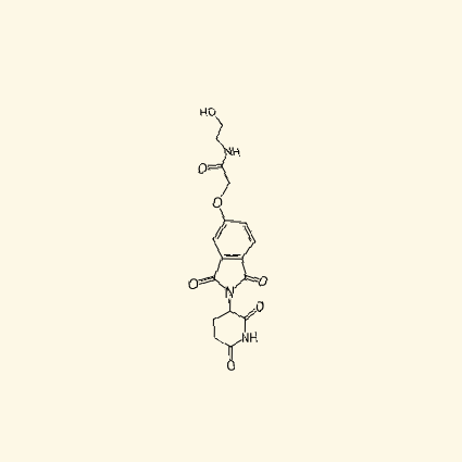 O=C(COc1ccc2c(c1)C(=O)N(C1CCC(=O)NC1=O)C2=O)NCCO